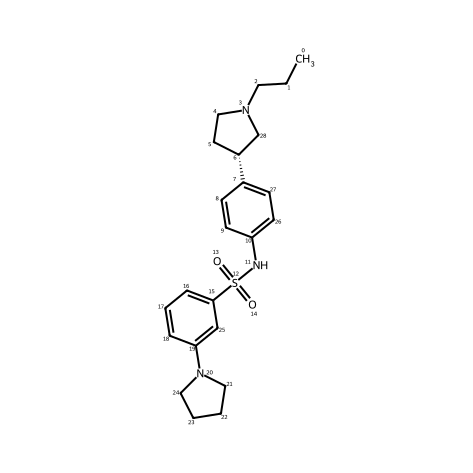 CCCN1CC[C@@H](c2ccc(NS(=O)(=O)c3cccc(N4CCCC4)c3)cc2)C1